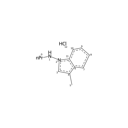 CCCNn1cc(C)c2ccccc21.Cl